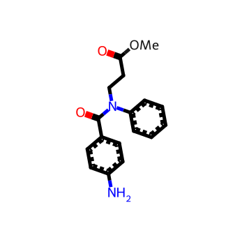 COC(=O)CCN(C(=O)c1ccc(N)cc1)c1ccccc1